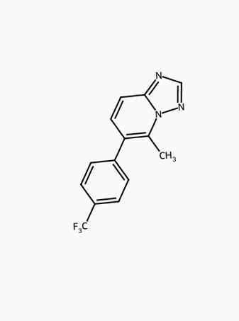 Cc1c(-c2ccc(C(F)(F)F)cc2)ccc2ncnn12